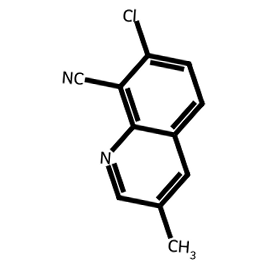 Cc1cnc2c(C#N)c(Cl)ccc2c1